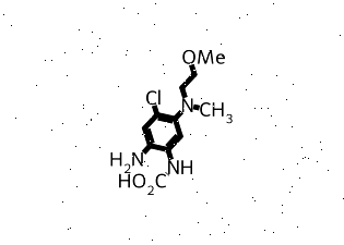 COCCN(C)c1cc(NC(=O)O)c(N)cc1Cl